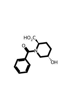 O=C(O)[C@H]1CC[C@H](O)CN1C(=O)c1ccccc1